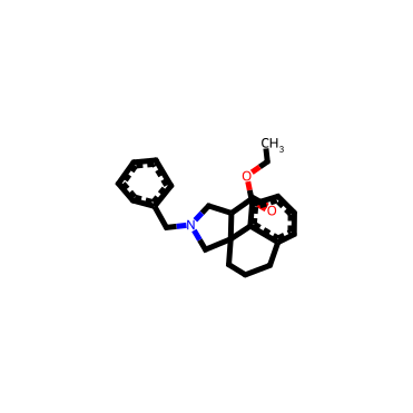 CCOC(=O)C1CN(Cc2ccccc2)CC12CCCc1ccccc12